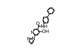 O=C(Nc1ccc(-c2ccccc2)cc1)c1cnc(-n2cccn2)cc1O